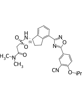 [C-]#[N+]c1cc(-c2nc(-c3cccc4c3CC[C@@H]4NS(=O)(=O)CC(=O)N(C)C)no2)ccc1OC(C)C